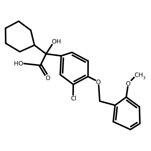 COc1ccccc1COc1ccc(C(O)(C(=O)O)C2CCCCC2)cc1Cl